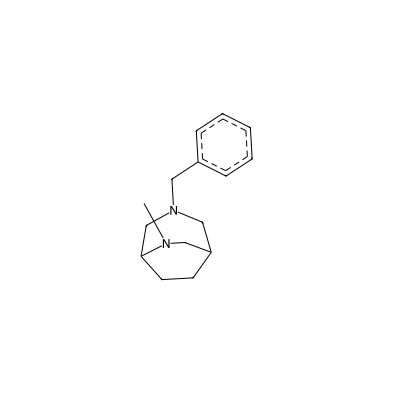 CN1CC2CCC1CN(Cc1ccccc1)C2